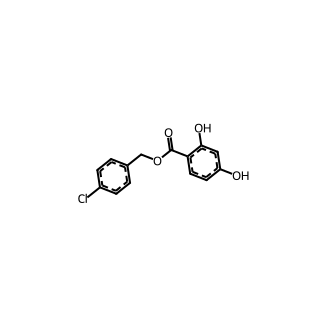 O=C(OCc1ccc(Cl)cc1)c1ccc(O)cc1O